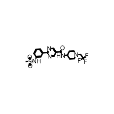 CS(=O)(=O)Nc1cccc(-c2ncc(C(=O)NC3CCN(CC(F)(F)F)CC3)cn2)c1